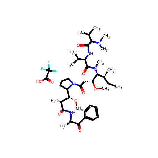 CC[C@H](C)[C@@H]([C@@H](CC(=O)N1CCCC1[C@H](OC)[C@@H](C)C(=O)NC(C)C(=O)c1ccccc1)OC)N(C)C(=O)C(NC(=O)C(C(C)C)N(C)C)C(C)C.O=C(O)C(F)(F)F